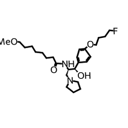 COCCCCCCCC(=O)N[C@H](CN1CCCC1)[C@H](O)c1ccc(OCCCCF)cc1